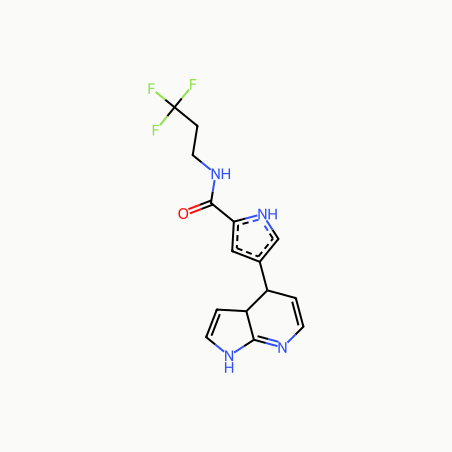 O=C(NCCC(F)(F)F)c1cc(C2C=CN=C3NC=CC32)c[nH]1